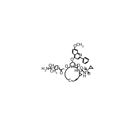 COc1ccc2c(O[C@@H]3C[C@H]4C(=O)N[C@]5(C(=O)NS(=O)(=O)C6CC6)CC5/C=C\CCCCC[C@H](CC(=O)N5CC[C@H](C(C)(C)N)C5)C(=O)N4C3)cc(-c3ccccc3)nc2c1